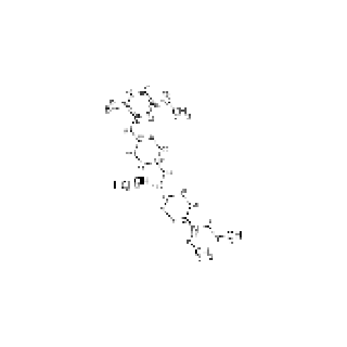 CCN(CCO)[C@H]1CC[C@H](CCN2CCC(Cc3cc(OC)ccc3Br)CC2)CC1.Cl.Cl